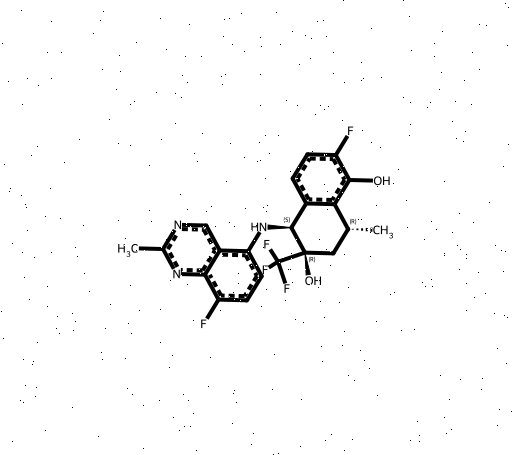 Cc1ncc2c(N[C@H]3c4ccc(F)c(O)c4[C@H](C)C[C@]3(O)C(F)(F)F)ccc(F)c2n1